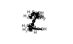 Cc1ncsc1-c1ccc(C(C)NC(=O)[C@@H]2C[C@@H](O)CN2C(=O)C(NC(=O)COc2ccc(-c3ccc(C4=N[C@@H](CC(=O)NCCOCCCO)c5nnc(C)n5-c5sc(C)c(C)c54)cc3)cc2)C(C)(C)C)cc1